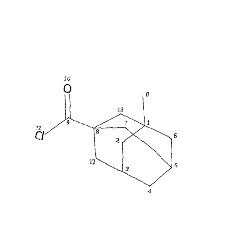 CC12CC3CC(C1)CC(C(=O)Cl)(C3)C2